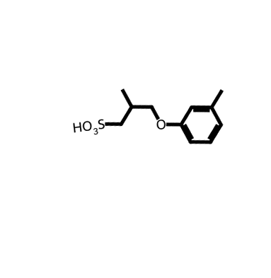 Cc1cccc(OCC(C)CS(=O)(=O)O)c1